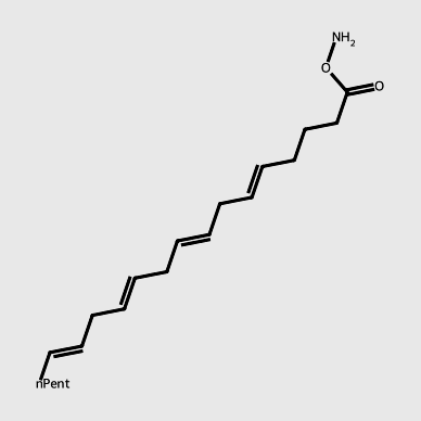 CCCCCC=CCC=CCC=CCC=CCCCC(=O)ON